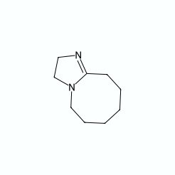 C1CCCN2CCN=C2CC1